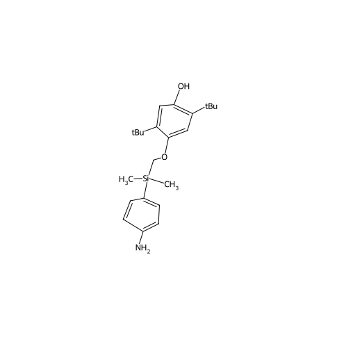 CC(C)(C)c1cc(OC[Si](C)(C)c2ccc(N)cc2)c(C(C)(C)C)cc1O